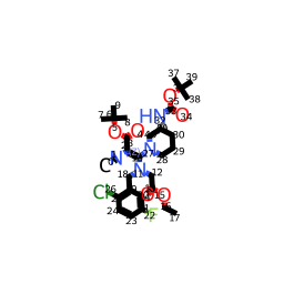 [C-]#[N+]/C(C(=O)OC(C)(C)C)=C(\N(CC(=O)OCC)Cc1cc(F)ccc1Cl)N1CCC[C@@H](NC(=O)OC(C)(C)C)C1